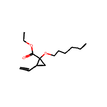 C=CC1CC1(OCCCCCC)C(=O)OCC